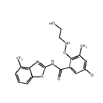 Cc1cc(Cl)cc(C(=O)Nc2nc3c(C(F)(F)F)cccc3s2)c1ONCCO